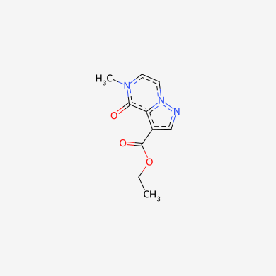 CCOC(=O)c1cnn2ccn(C)c(=O)c12